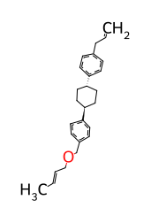 C=CCc1ccc([C@H]2CC[C@H](c3ccc(COC/C=C/C)cc3)CC2)cc1